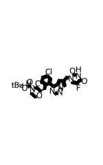 Cc1cc(Cl)cc(-c2ncnn3cc(Cn4cc(F)c(=O)[nH]c4=O)cc23)c1C[C@@H]1CN(C(=O)OC(C)(C)C)CCO1